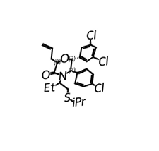 C=CC[C@H]1O[C@H](c2cc(Cl)cc(Cl)c2)[C@@H](c2ccc(Cl)cc2)N(C(CC)CSC(C)C)C1=O